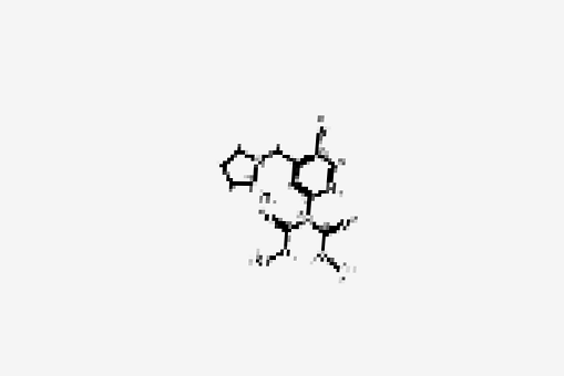 CC[C@@H]1CCCN1Cc1cc(N(C(=O)OC(C)(C)C)C(=O)OC(C)(C)C)ncc1Br